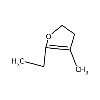 CCC1=C(C)CCO1